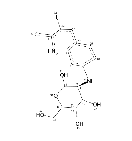 O=c1[nH]c2cc(N[C@@H]3C(O)OC(CO)[C@@H](O)C3O)ccc2cc1I